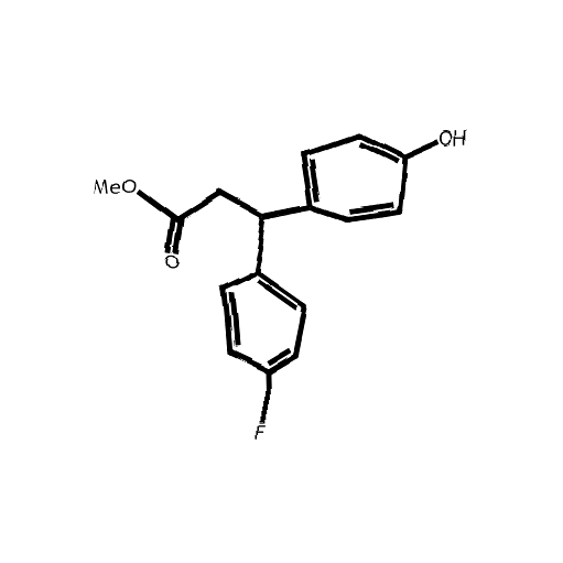 COC(=O)CC(c1ccc(O)cc1)c1ccc(F)cc1